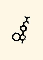 CC1=NN=C(c2ccc(CC(=O)C(C)C)cc2)C2CCCCCCC12